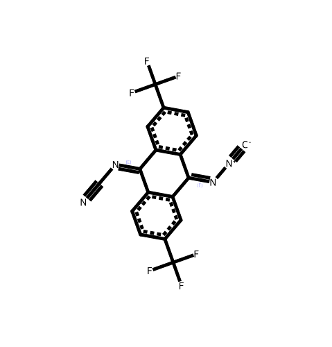 [C-]#[N+]/N=C1\c2ccc(C(F)(F)F)cc2/C(=N/C#N)c2ccc(C(F)(F)F)cc21